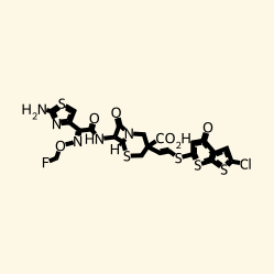 Nc1nc(C(=NOCF)C(=O)NC2C(=O)N3CC(C=CSc4cc(=O)c5cc(Cl)sc5s4)(C(=O)O)CS[C@H]23)cs1